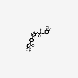 O=C(Cc1cn(-c2ccc(-n3ccc(=O)[nH]c3=O)cc2)nn1)NCc1ccc(Cl)c(Cl)c1